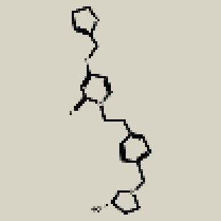 O=c1cc(OCC2=CCCS2)ccn1CCc1ccc(CN2CC[C@H](O)C2)cc1